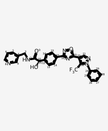 O=C(NCc1cccnc1)[C@H](O)c1ccc(-c2noc(-c3cnn(-c4ccccc4)c3C(F)(F)F)n2)cc1